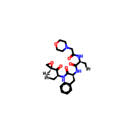 CC(C)C[C@H](NC(=O)CN1CCOCC1)C(=O)N[C@@H](Cc1ccccc1)C(=O)N[C@@H](CC(C)C)C(=O)[C@@]1(C)CO1